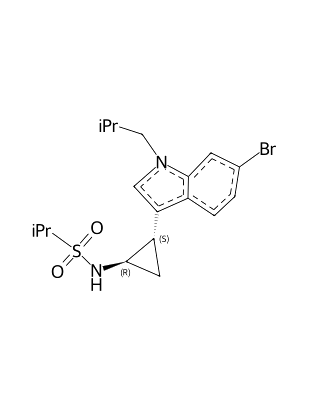 CC(C)Cn1cc([C@@H]2C[C@H]2NS(=O)(=O)C(C)C)c2ccc(Br)cc21